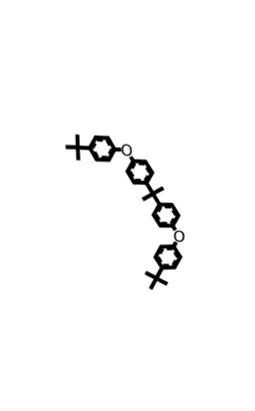 CC(C)(C)c1ccc(Oc2ccc(C(C)(C)c3ccc(Oc4ccc(C(C)(C)C)cc4)cc3)cc2)cc1